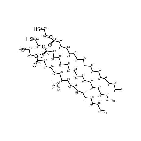 CCCCCCCCCCCCCCCCCC(=O)OCCS.CCCCCCCCCCCCCCCCCC(=O)OCCS.CCCCCCCCCCCCCCCCCC(=O)OCCS.[CH3][Sn]